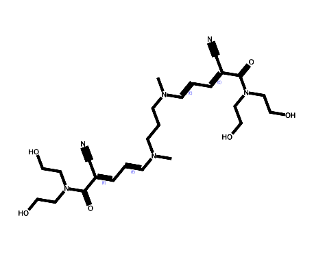 CN(/C=C/C=C(\C#N)C(=O)N(CCO)CCO)CCCN(C)/C=C/C=C(\C#N)C(=O)N(CCO)CCO